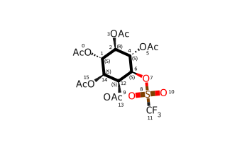 CC(=O)O[C@@H]1[C@@H](OC(C)=O)[C@H](OC(C)=O)[C@@H](OS(=O)(=O)C(F)(F)F)[C@@H](OC(C)=O)[C@H]1OC(C)=O